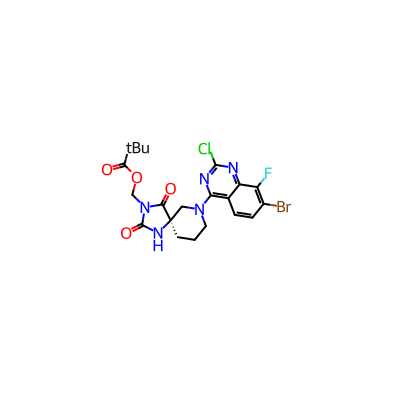 CC(C)(C)C(=O)OCN1C(=O)N[C@@]2(CCCN(c3nc(Cl)nc4c(F)c(Br)ccc34)C2)C1=O